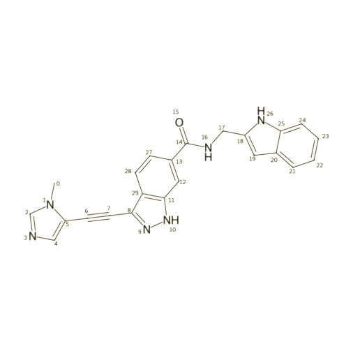 Cn1cncc1C#Cc1n[nH]c2cc(C(=O)NCc3cc4ccccc4[nH]3)ccc12